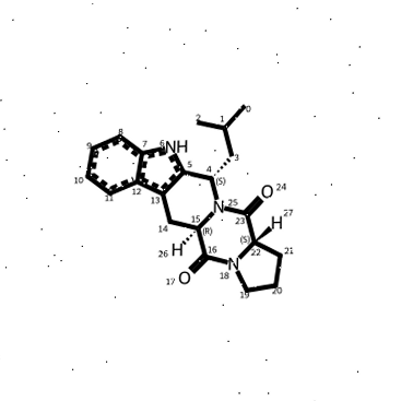 CC(C)C[C@H]1c2[nH]c3ccccc3c2C[C@@H]2C(=O)N3CCC[C@H]3C(=O)N21